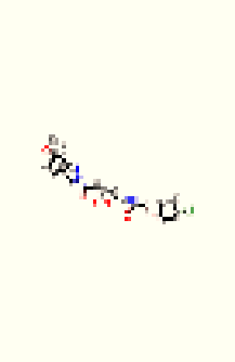 O=C(COc1ccc(Cl)c(F)c1)NCCC(O)CC(=O)NCc1ccc(OC(F)(F)F)cc1